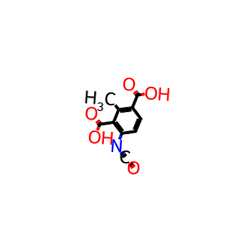 Cc1c(C(=O)O)ccc(N=C=O)c1C(=O)O